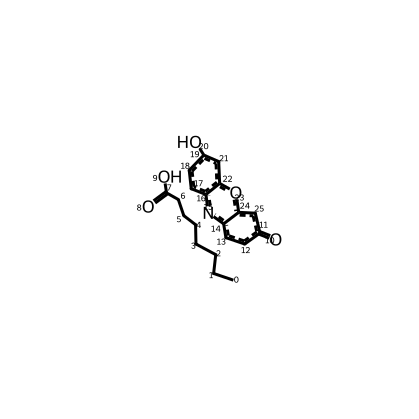 CCCCCCCC(=O)O.O=c1ccc2nc3ccc(O)cc3oc-2c1